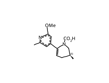 COc1cc(C2=CC[C@H](C)CN2C(=O)O)cc(C)n1